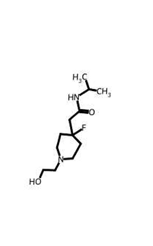 CC(C)NC(=O)CC1(F)CCN(CCO)CC1